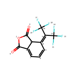 O=C1OC(=O)C2C1=CC=CC2=C(C(F)(F)F)C(F)(F)F